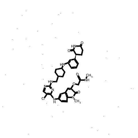 CNC(=O)COc1cc2cc(Nc3nc(NCC4CCC(Nc5cccc([C@@H]6CCC(=O)NC6=O)c5)CC4)ncc3Cl)ccc2n(C)c1=O